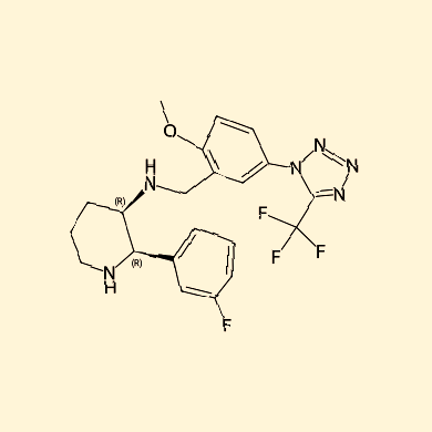 COc1ccc(-n2nnnc2C(F)(F)F)cc1CN[C@@H]1CCCN[C@@H]1c1cccc(F)c1